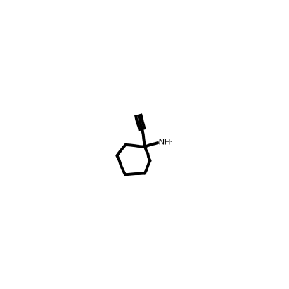 C#CC1([NH])CCCCC1